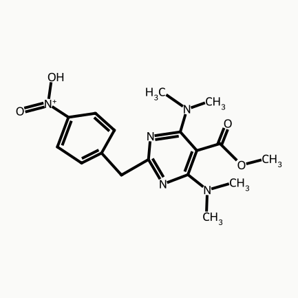 COC(=O)c1c(N(C)C)nc(Cc2ccc([N+](=O)O)cc2)nc1N(C)C